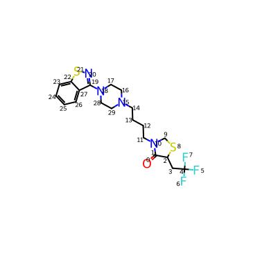 O=C1C(CC(F)(F)F)SCN1CCCCN1CCN(c2nsc3ccccc23)CC1